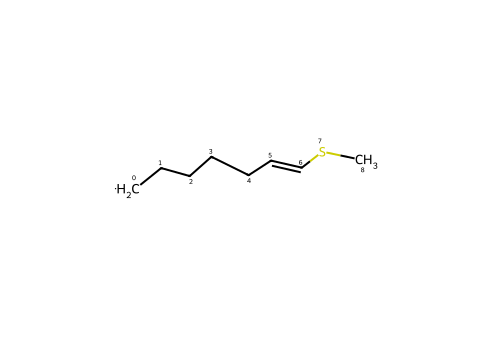 [CH2]CCCCC=CSC